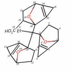 CCC(C12CCC(O1)C1=C2C1)(C12CCC(O1)C1=C2C1)C12OC(CC1C(=O)O)C1=C2C1